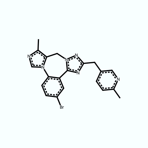 Cc1ccc(Cc2nc3n(n2)Cc2c(C)ncn2-c2ccc(Br)cc2-3)cn1